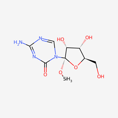 Nc1ncn([C@]2(O[SiH3])O[C@H](CO)[C@@H](O)[C@H]2O)c(=O)n1